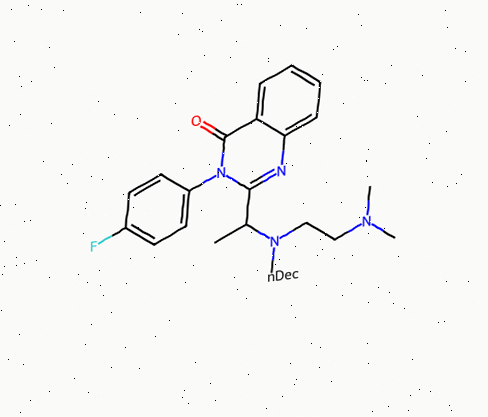 CCCCCCCCCCN(CCN(C)C)C(C)c1nc2ccccc2c(=O)n1-c1ccc(F)cc1